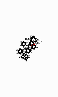 CC1(C)CCC(C)(C)c2cc(N(c3c(-c4ccccc4)ccc4c3Oc3ccccc3C43C4CC5CC6CC3C64C5)C3C=CC=CC3)ccc21